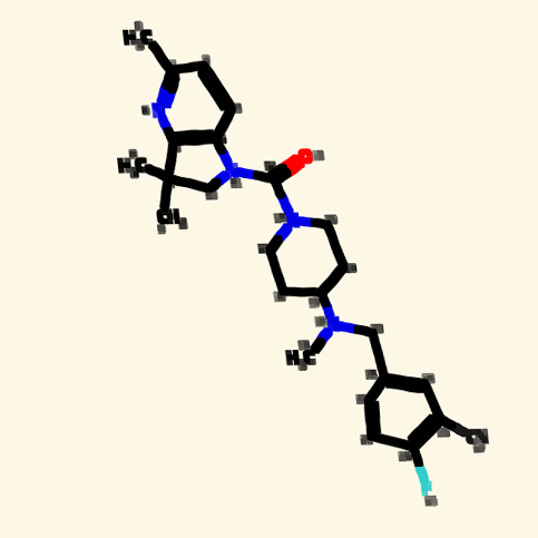 Cc1ccc2c(n1)C(C)(C)CN2C(=O)N1CCC(N(C)Cc2ccc(F)c(C#N)c2)CC1